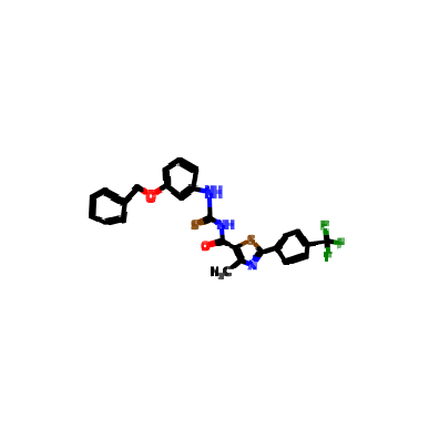 Cc1nc(-c2ccc(C(F)(F)F)cc2)sc1C(=O)NC(=S)Nc1cccc(OCc2ccccc2)c1